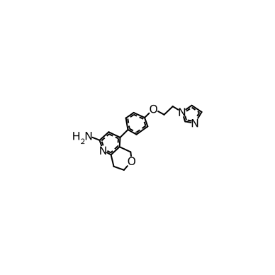 Nc1cc(-c2ccc(OCCn3ccnc3)cc2)c2c(n1)CCOC2